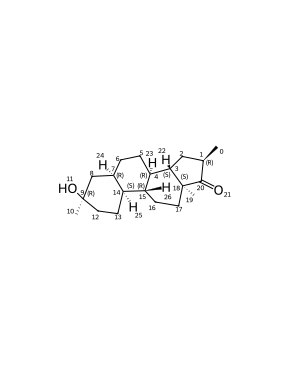 C[C@@H]1C[C@H]2[C@@H]3CC[C@@H]4C[C@](C)(O)CC[C@@H]4[C@H]3CC[C@]2(C)C1=O